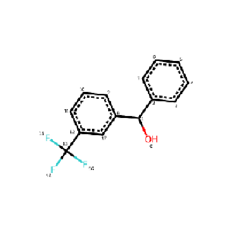 OC(c1ccccc1)c1cccc(C(F)(F)F)c1